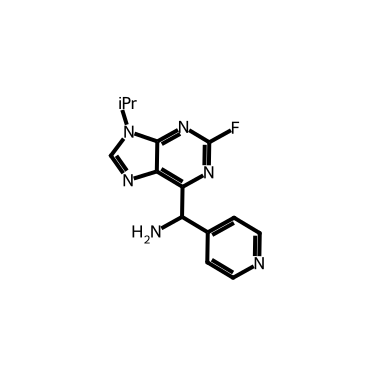 CC(C)n1cnc2c(C(N)c3ccncc3)nc(F)nc21